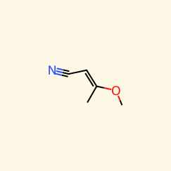 CO/C(C)=C/C#N